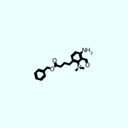 CN(C)c1c(CCCC(=O)OCc2ccccc2)ccc(N)c1C=O